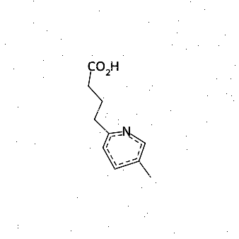 Cc1ccc(CCCC(=O)O)nc1